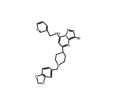 Brc1cnn2c(NCc3cccnc3)cc(C3CCN(Cc4ccc5c(c4)OCO5)CC3)nc12